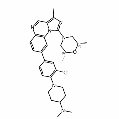 Cc1nc(N2C[C@@H](C)O[C@@H](C)C2)n2c1cnc1ccc(-c3ccc(N4CCC(N(C)C)CC4)c(Cl)c3)cc12